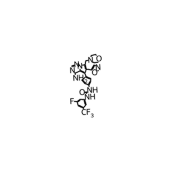 Nc1ncnn2c(CN3CCOCC3)c(-c3cnco3)c(-c3ccc(NC(=O)Nc4cc(F)cc(C(F)(F)F)c4)cc3)c12